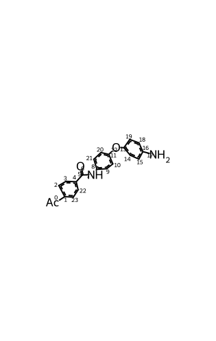 CC(=O)c1ccc(C(=O)Nc2ccc(Oc3ccc(N)cc3)cc2)cc1